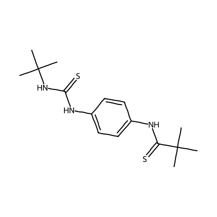 CC(C)(C)NC(=S)Nc1ccc(NC(=S)C(C)(C)C)cc1